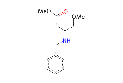 COCC(CC(=O)OC)NCc1ccccc1